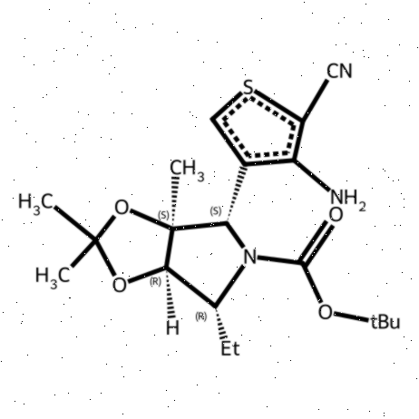 CC[C@@H]1[C@H]2OC(C)(C)O[C@@]2(C)[C@H](c2csc(C#N)c2N)N1C(=O)OC(C)(C)C